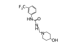 O=C(NCCN1CCC(O)CC1)Nc1cccc(C(F)(F)F)c1